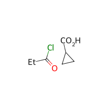 CCC(=O)Cl.O=C(O)C1CC1